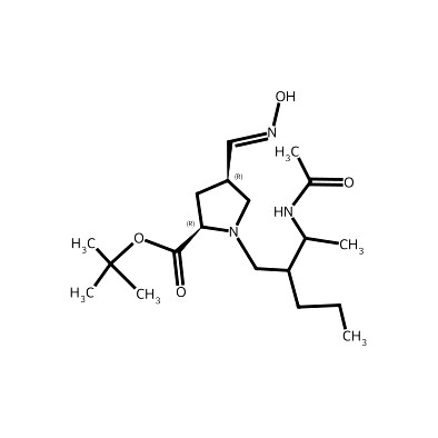 CCCC(CN1C[C@H](C=NO)C[C@@H]1C(=O)OC(C)(C)C)C(C)NC(C)=O